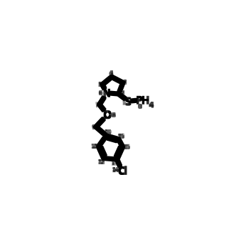 [PH4]SC1CCCN1COCc1ccc(Cl)cc1